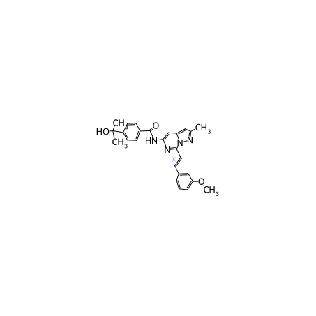 COc1cccc(/C=C/c2nc(NC(=O)c3ccc(C(C)(C)O)cc3)cc3cc(C)nn23)c1